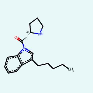 CCCCCc1cn(C(=O)[C@@H]2CCCN2)c2ccccc12